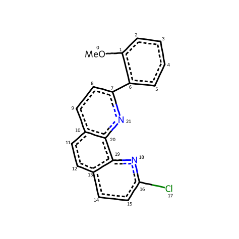 COc1ccccc1-c1ccc2ccc3ccc(Cl)nc3c2n1